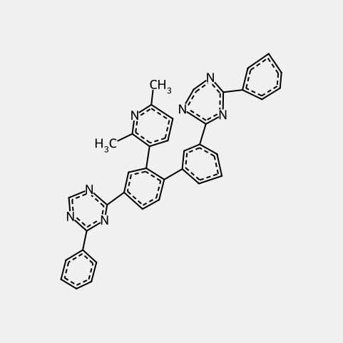 Cc1ccc(-c2cc(-c3ncnc(-c4ccccc4)n3)ccc2-c2cccc(-c3ncnc(-c4ccccc4)n3)c2)c(C)n1